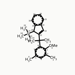 COc1c(C)cc(C)cc1C(C)(C)C1=Cc2ccccc2C1[Si](C)(C)C